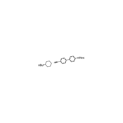 CCCCCCc1ccc(-c2ccc(C#C[C@H]3CC[C@H](CCCC)CC3)cc2)cc1